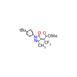 COC(=O)C(=C1C(=O)N(c2ccc(C(C)(C)C)cc2)N=C1C)C(F)(F)F